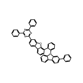 c1ccc(-c2ccc3c4ccccc4n(-c4ccccc4-c4cccc5c4oc4cc(-c6nc(-c7ccccc7)nc(-c7ccccc7)n6)ccc45)c3c2)cc1